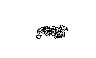 CC[C@H](C)C([C@@H](CC(=O)N1CCC[C@H]1[C@H](OC)[C@@H](C)C(=O)N[C@@H](Cc1ccccc1)c1nccs1)OC)N(C)C(=O)[C@@H](NC(=O)C(C(C)C)N(C)CCc1ccc(NC)cc1)C(C)C